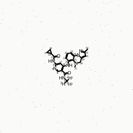 [2H]C([2H])([2H])NC(=O)c1cnc(NC(=O)C2CC2)cc1Nc1cccc2c1N(C)Cc1cc(C)nn1-2